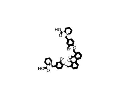 O=C(O)[C@@H]1CCCCN1Cc1ccc(OCc2cccc(-c3cccc(COc4ccc(CN5CCCC[C@H]5C(=O)O)cc4Br)c3Cl)c2Cl)c(Br)c1